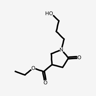 CCOC(=O)C1CC(=O)N(CCCO)C1